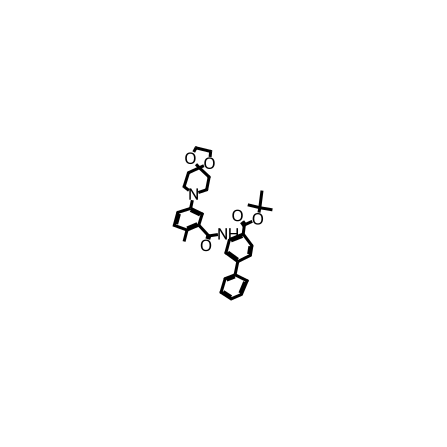 Cc1ccc(N2CCC3(CC2)OCCO3)cc1C(=O)Nc1cc(-c2ccccc2)ccc1C(=O)OC(C)(C)C